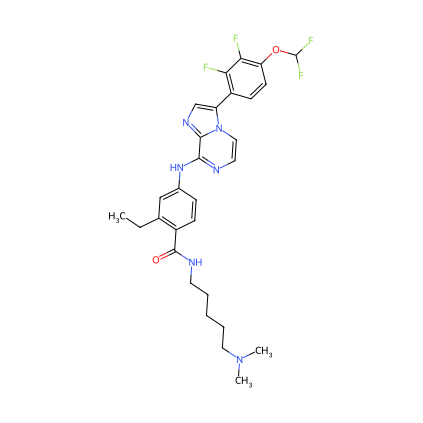 CCc1cc(Nc2nccn3c(-c4ccc(OC(F)F)c(F)c4F)cnc23)ccc1C(=O)NCCCCCN(C)C